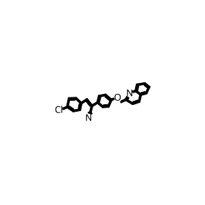 N#CC(=Cc1ccc(Cl)cc1)c1ccc(OCc2ccc3ccccc3n2)cc1